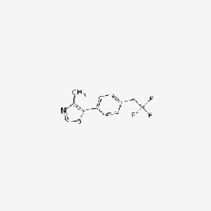 Cc1ncsc1-c1ccc(CC(F)(F)F)cc1